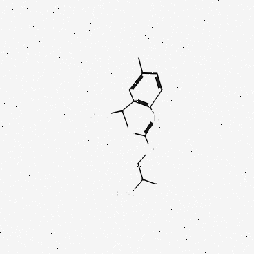 CCCCC(CC)COC1=Nc2ccc(C)cc2C(C=O)O1